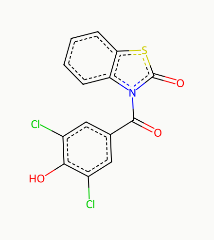 O=C(c1cc(Cl)c(O)c(Cl)c1)n1c(=O)sc2ccccc21